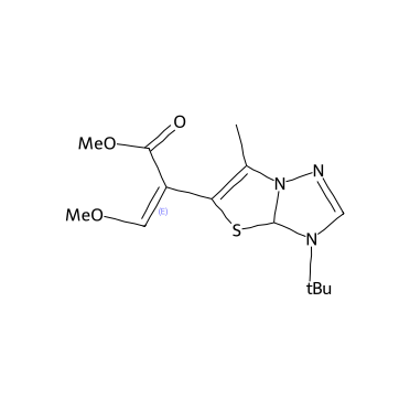 CO/C=C(\C(=O)OC)C1=C(C)N2N=CN(C(C)(C)C)C2S1